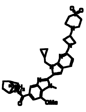 COc1cc(C(=O)N2CC3CCC2[C@@H]3N)cc2nc(-c3cc4ccc(N5CC(N6CCS(=O)(=O)CC6)C5)nc4n3CC3CC3)n(C)c12